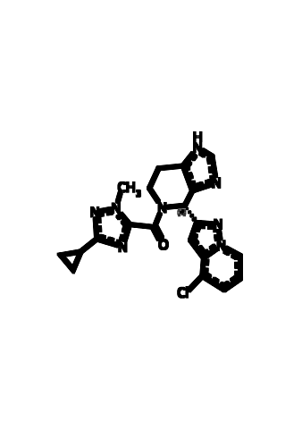 Cn1nc(C2CC2)nc1C(=O)N1CCc2[nH]cnc2[C@@H]1c1cc2c(Cl)cccn2n1